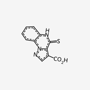 O=C(O)c1cnn2c1c(=S)[nH]c1ccccc12